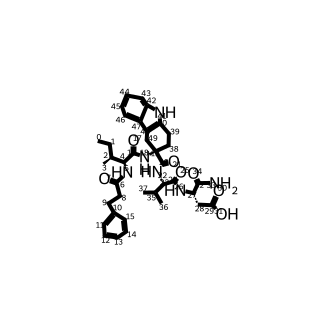 CC[C@H](C)[C@H](NC(=O)CCc1ccccc1)C(=O)N[C@]1(C(=O)N[C@H](C(=O)N[C@@H](CC(=O)O)C(N)=O)C(C)C)CCc2[nH]c3ccccc3c2C1